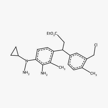 CCOC(=O)CC(c1ccc(C)c(CCl)c1)c1ccc(N(N)C2CC2)c(N)c1C